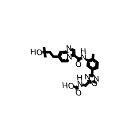 Cc1ccc(-c2noc(CNC(=O)O)n2)cc1NC(=O)c1cnc2cc(CCC(C)(C)O)ccn12